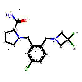 NC(=O)[C@@H]1CCCN1Cc1cc(Cl)ccc1CN1CC(F)(F)C1